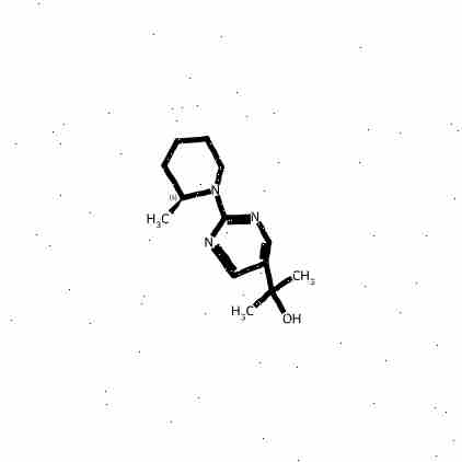 C[C@H]1CCCCN1c1ncc(C(C)(C)O)cn1